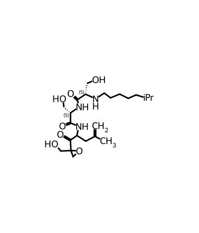 C=C(C)CC(NC(=O)[C@H](CO)NC(=O)[C@H](CO)NCCCCCC(C)C)C(=O)C1(CO)CO1